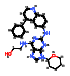 OCCNc1nc(Nc2ccc3nccc(-c4ccccc4)c3c2)nc2c1ncn2C1CCCCO1